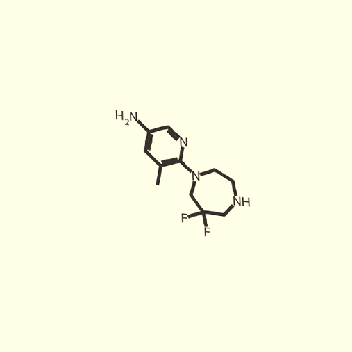 Cc1cc(N)cnc1N1CCNCC(F)(F)C1